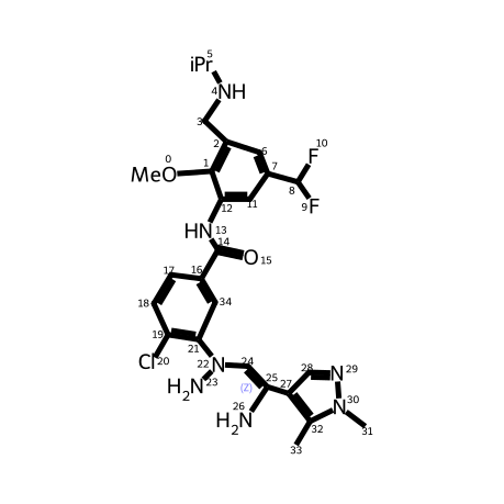 COc1c(CNC(C)C)cc(C(F)F)cc1NC(=O)c1ccc(Cl)c(N(N)/C=C(\N)c2cnn(C)c2C)c1